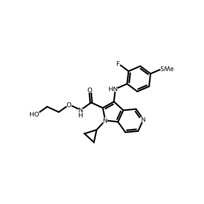 CSc1ccc(Nc2c(C(=O)NOCCO)n(C3CC3)c3ccncc23)c(F)c1